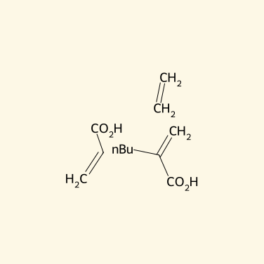 C=C.C=C(CCCC)C(=O)O.C=CC(=O)O